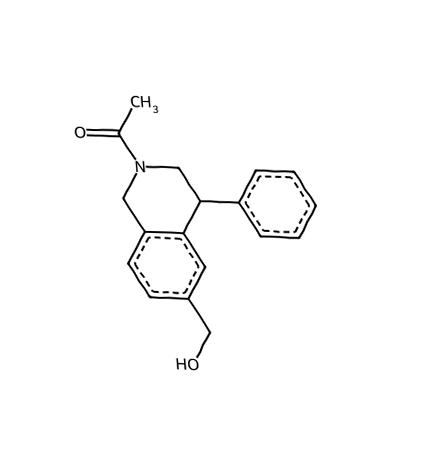 CC(=O)N1Cc2ccc(CO)cc2C(c2ccccc2)C1